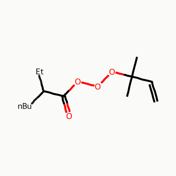 C=CC(C)(C)OOOC(=O)C(CC)CCCC